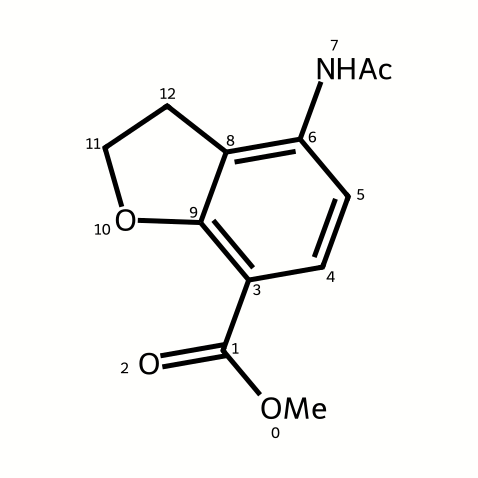 COC(=O)c1ccc(NC(C)=O)c2c1OCC2